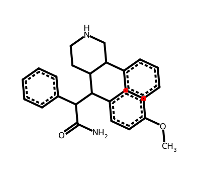 COc1ccc(C(C(C(N)=O)c2ccccc2)C2CCNCC2c2ccccc2)cc1